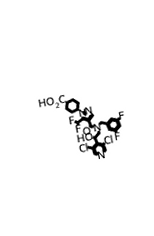 O=C(c1cnn([C@H]2CC[C@H](C(=O)O)CC2)c1C(F)F)N(Cc1cc(F)cc(F)c1)CC(O)c1c(Cl)cncc1Cl